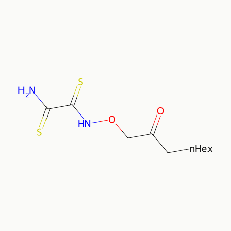 CCCCCCCC(=O)CONC(=S)C(N)=S